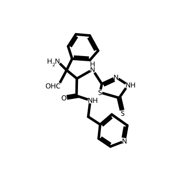 NC(C=O)(c1ccccc1)C(Nc1n[nH]c(=S)s1)C(=O)NCc1ccncc1